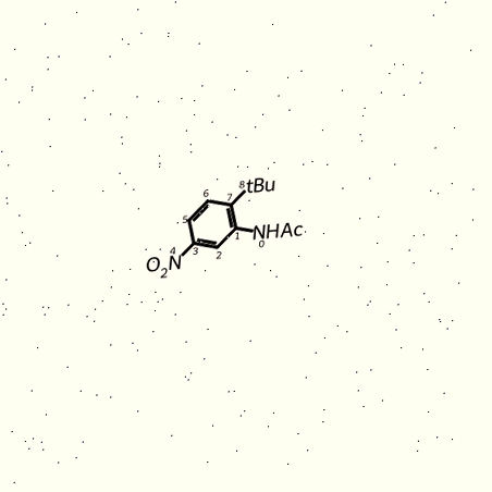 CC(=O)Nc1cc([N+](=O)[O-])ccc1C(C)(C)C